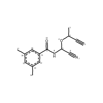 C#CC(C)OC(C#N)NC(=O)c1cc(C)cc(C)c1